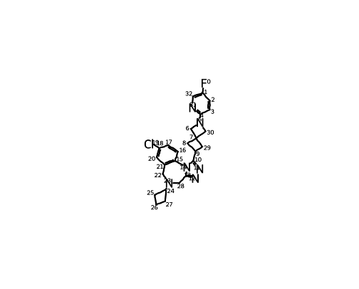 Fc1ccc(N2CC3(CC(c4nnc5n4-c4ccc(Cl)cc4CN(C4CCC4)C5)C3)C2)nc1